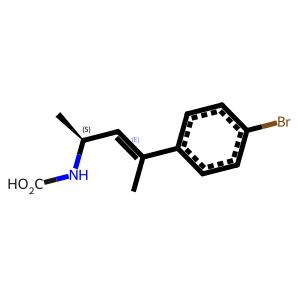 C/C(=C\[C@H](C)NC(=O)O)c1ccc(Br)cc1